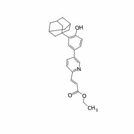 CCOC(=O)/C=C/c1ccc(-c2ccc(O)c(C34CC5CC(CC(C5)C3)C4)c2)cn1